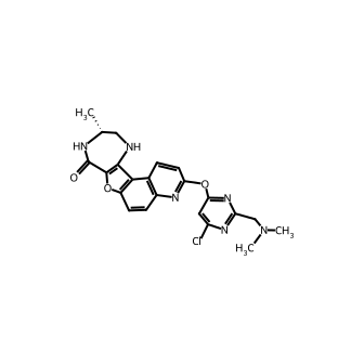 C[C@@H]1CNc2c(oc3ccc4nc(Oc5cc(Cl)nc(CN(C)C)n5)ccc4c23)C(=O)N1